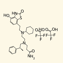 C[C@H](CN(CCC(N)=O)CCN(CCc1ccc(O)c2[nH]c(=O)sc12)C1CCCCC1)c1ccccc1.O=C(O)C(F)(F)F.O=C(O)C(F)(F)F